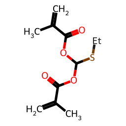 C=C(C)C(=O)OC(OC(=O)C(=C)C)SCC